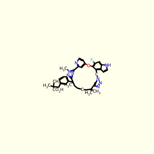 Cn1nc2nc1-c1cc(ccn1)Oc1c(F)cc3[nH]ccc3c1Cn1cc(nn1)C(C)(C)CCCC[C@]2(C)c1cccc(CC(C)(C)C(=O)O)c1